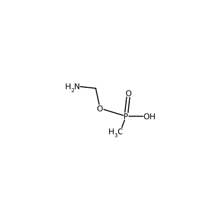 CP(=O)(O)OCN